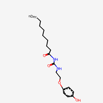 CCCCCCCCCCCCCCCCCC(=O)NC(=O)NCCOc1ccc(O)cc1